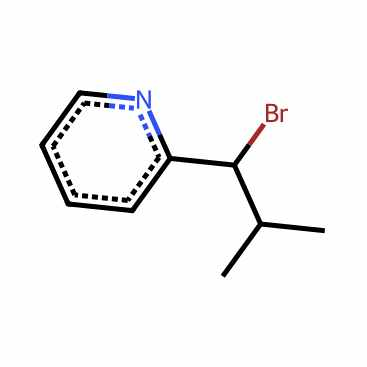 CC(C)C(Br)c1ccccn1